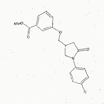 COC(=O)c1cccc(OCC2CC(=O)N(c3ccc(Cl)cc3)C2)c1